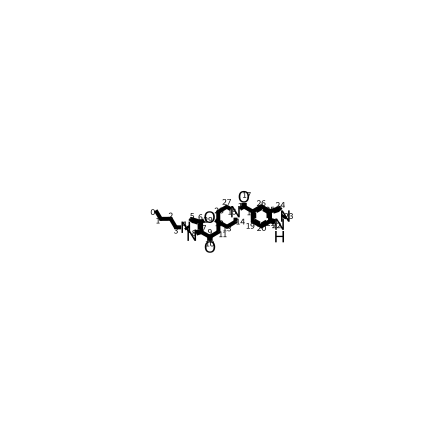 CCCCn1cc2c(n1)C(=O)CC1(CCN(C(=O)c3ccc4[nH]ncc4c3)CC1)O2